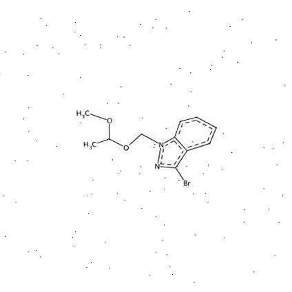 COC(C)OCn1nc(Br)c2ccccc21